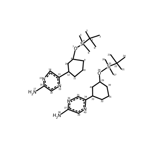 CC(C)(C)[Si](C)(C)OC1CCCC(c2cnc(N)cn2)C1.CC(C)(C)[Si](C)(C)OC1CCCC(c2cnc(N)cn2)C1